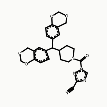 N#Cc1ncn(C(=O)N2CCC(C(c3ccc4c(c3)COCO4)c3ccc4c(c3)COCO4)CC2)n1